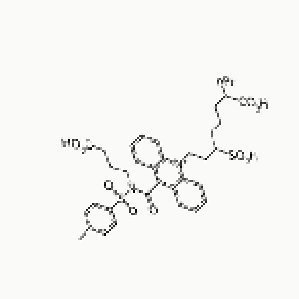 CCCC(CCCC(CC[n+]1c2ccccc2c(C(=O)N(CCCC(=O)O)S(=O)(=O)c2ccc(C)cc2)c2ccccc21)S(=O)(=O)O)C(=O)O